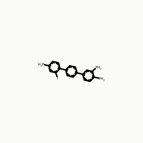 Pc1ccc(-c2ccc(-c3ccc(P)c(P)c3)cc2)c(I)c1